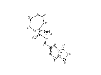 NC1(C(=O)C=Cc2ccc3c(c2)OCO3)CCCCCC1